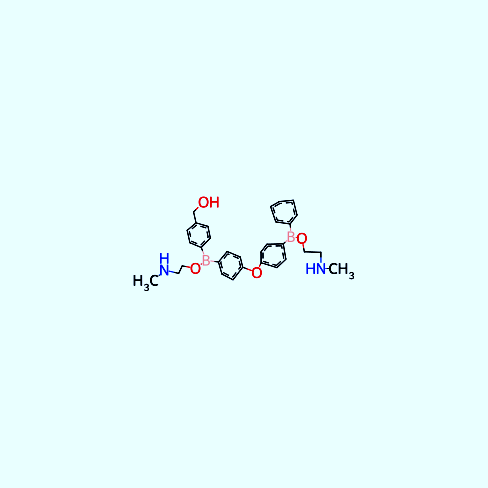 CNCCOB(c1ccccc1)c1ccc(Oc2ccc(B(OCCNC)c3ccc(CO)cc3)cc2)cc1